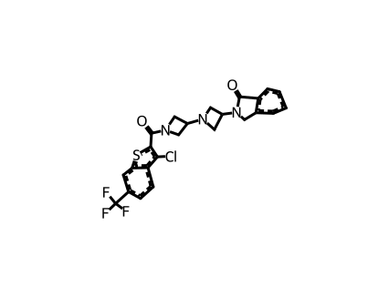 O=C(c1sc2cc(C(F)(F)F)ccc2c1Cl)N1CC(N2CC(N3Cc4ccccc4C3=O)C2)C1